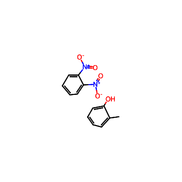 Cc1ccccc1O.O=[N+]([O-])c1ccccc1[N+](=O)[O-]